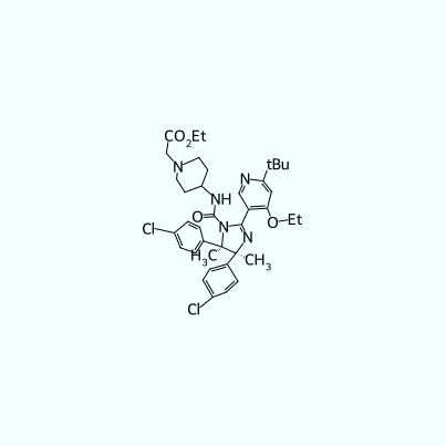 CCOC(=O)CN1CCC(NC(=O)N2C(c3cnc(C(C)(C)C)cc3OCC)=N[C@@](C)(c3ccc(Cl)cc3)[C@@]2(C)c2ccc(Cl)cc2)CC1